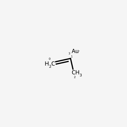 C=CC.[Au]